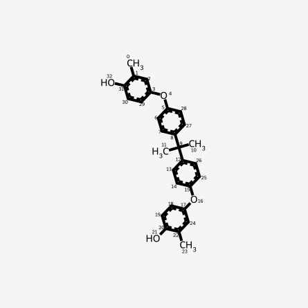 Cc1cc(Oc2ccc(C(C)(C)c3ccc(Oc4ccc(O)c(C)c4)cc3)cc2)ccc1O